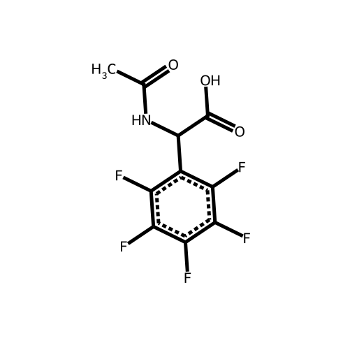 CC(=O)NC(C(=O)O)c1c(F)c(F)c(F)c(F)c1F